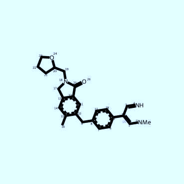 CN/C=C(\C=N)c1ccc(Cc2cc3c(cc2C)CN(CC2CCCO2)C3=O)cc1